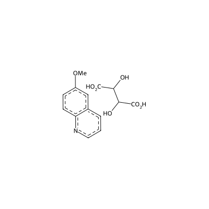 COc1ccc2ncccc2c1.O=C(O)C(O)C(O)C(=O)O